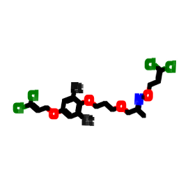 CCc1cc(OCC=C(Cl)Cl)cc(CC)c1OCCCOCC(C)=NOCC=C(Cl)Cl